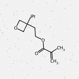 C=C(C)C(=O)OCCC1(C(C)C)COC1